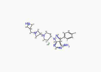 Cc1ccc(-c2nn([C@H]3CCN(C4CN(CC5CNC5)C4)C[C@H]3F)c3ncnc(N)c23)cc1